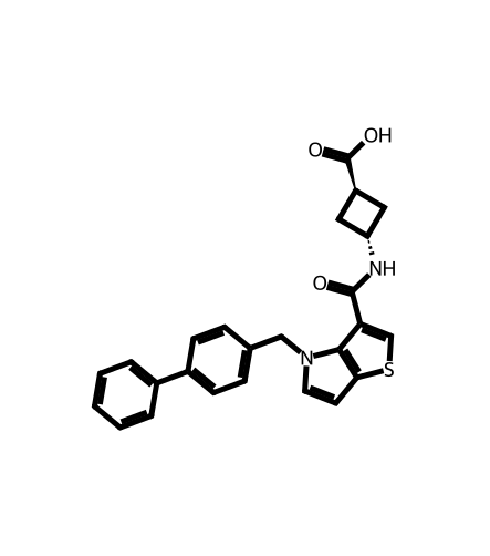 O=C(N[C@H]1C[C@H](C(=O)O)C1)c1csc2ccn(Cc3ccc(-c4ccccc4)cc3)c12